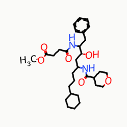 COC(=O)CCC(=O)NC(Cc1ccccc1)[C@@H](O)CC(CCCC1CCCCC1)NC(=O)C1CCOCC1